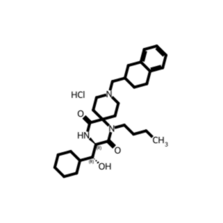 CCCCN1C(=O)[C@@H]([C@H](O)C2CCCCC2)NC(=O)C12CCN(CC1CCc3ccccc3C1)CC2.Cl